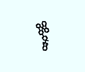 CC1(c2nc3ccccc3o2)C=CC(c2ccc3c(c2)C2(c4ccccc4-c4ccccc42)c2ccccc2-3)=CC1